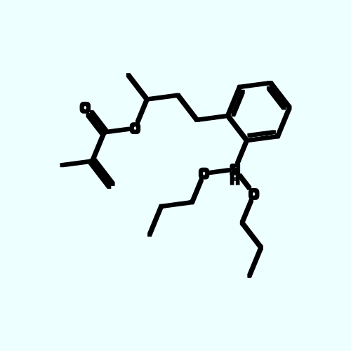 C=C(C)C(=O)OC(C)CCc1ccccc1[SiH](OCCC)OCCC